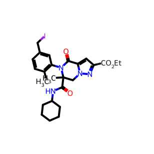 CCOC(=O)c1cc2n(n1)CC(C)(C(=O)NC1CCCCC1)N(c1cc(CI)ccc1C)C2=O